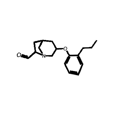 CCCc1ccccc1OC1CC2CC(C=O)N(C2)C1